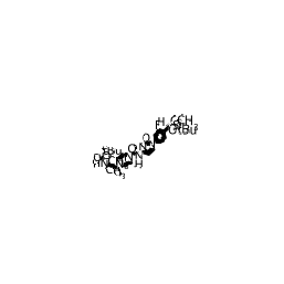 CC(C)(C)OC(=O)NC(C)(C)C(=O)N1CCN(C(=O)Nc2ccn(-c3ccc(CO[Si](C)(C)C(C)(C)C)c(F)c3)c(=O)n2)CC1